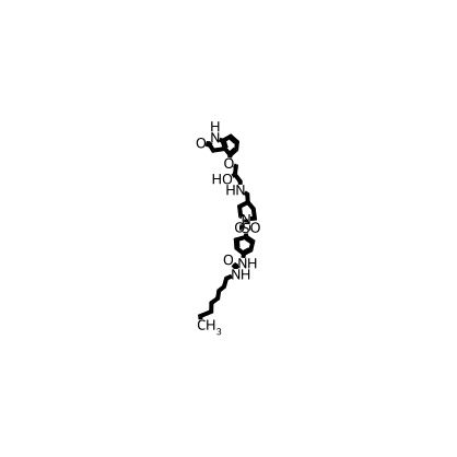 CCCCCCCCNC(=O)Nc1ccc(S(=O)(=O)N2CCC(CNCC(O)COc3cccc4c3CC(=O)N4)CC2)cc1